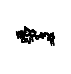 O=C(O)c1c(OC2CN(Cc3nc[nH]n3)C2)ccc2c1C[B-](O)(O)C1CC21